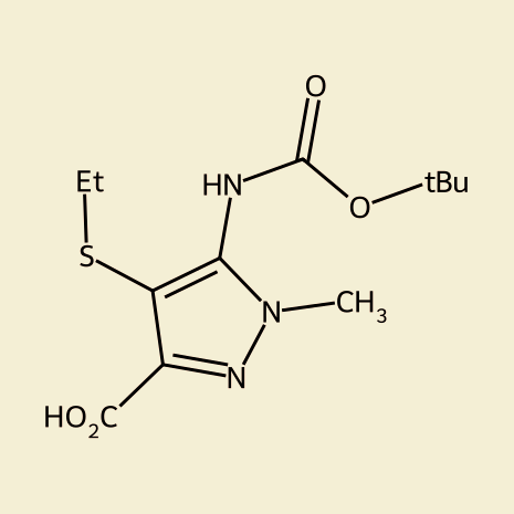 CCSc1c(C(=O)O)nn(C)c1NC(=O)OC(C)(C)C